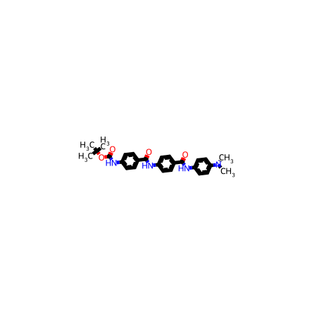 CN(C)c1ccc(NC(=O)c2ccc(NC(=O)c3ccc(NC(=O)OC(C)(C)C)cc3)cc2)cc1